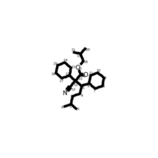 CC(C)CCC(C1CCCCC1)C(C#N)(C(=O)OCC(C)C)C1CCCCC1